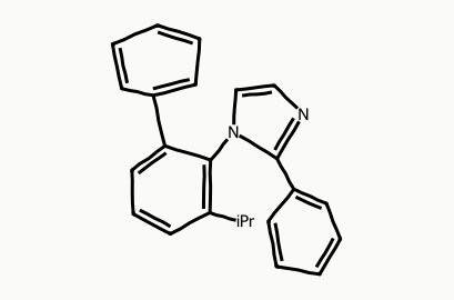 CC(C)c1cccc(-c2ccccc2)c1-n1ccnc1-c1ccccc1